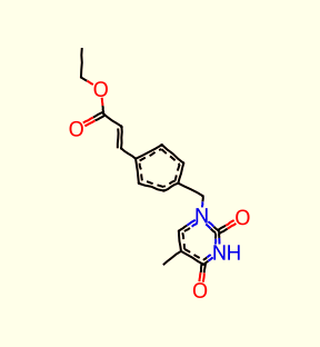 CCOC(=O)/C=C/c1ccc(Cn2cc(C)c(=O)[nH]c2=O)cc1